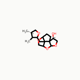 CC1C(CC23C4CCC25C(OC[C@@H]5O)OC3CO4)OC[C@H]1C